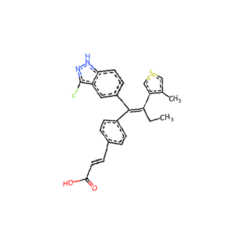 CCC(=C(c1ccc(C=CC(=O)O)cc1)c1ccc2[nH]nc(F)c2c1)c1cscc1C